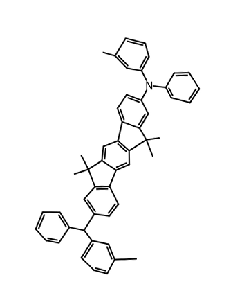 Cc1cccc(C(c2ccccc2)c2ccc3c(c2)C(C)(C)c2cc4c(cc2-3)C(C)(C)c2cc(N(c3ccccc3)c3cccc(C)c3)ccc2-4)c1